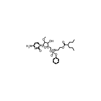 CCCC(CCC)C(=O)OCCNP(=O)(OC[C@H]1O[C@@H](n2ccc(N)nc2=O)C(OC)C1O)Oc1ccccc1